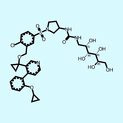 O=C(NC[C@H](O)[C@@H](O)[C@H](O)[C@H](O)CO)NC1CCN(S(=O)(=O)c2ccc(Cl)c(COC3(c4cnccc4-c4ccccc4OC4CC4)CC3)c2)C1